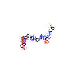 O=C1/C(=N\Nc2ccc3c(S(=O)(=O)O)cccc3c2)C=Cc2cc(S(=O)(=O)O)cc(Nc3nc(Cl)nc(Nc4ccc(Nc5nc(Cl)nc(Nc6cccc7c6C(=O)/C(=N\Nc6ccc8c(S(=O)(=O)O)cccc8c6S(=O)(=O)O)C(S(=O)(=O)O)=C7)n5)cc4)n3)c21